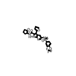 O=C(NC1CCCC1O)c1[nH]c2ncc(NS(=O)(=O)c3ccc(OC(F)(F)F)cc3)cc2c1-c1ccco1